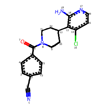 N#Cc1ccc(C(=O)N2CCC(c3c(Cl)ccnc3N)CC2)cc1